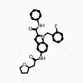 O=C(CC1CCCO1)Nc1ccc2c(c1)cc(C(=O)Nc1ccccc1)n2Cc1ccccc1F